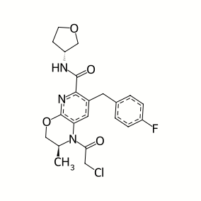 C[C@H]1COc2nc(C(=O)N[C@@H]3CCOC3)c(Cc3ccc(F)cc3)cc2N1C(=O)CCl